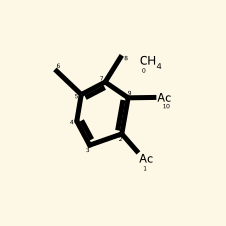 C.CC(=O)c1ccc(C)c(C)c1C(C)=O